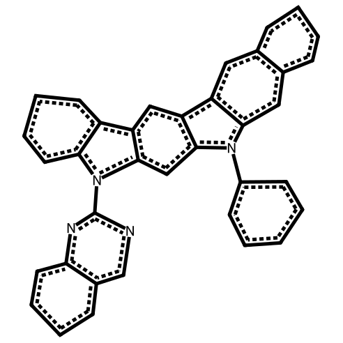 c1ccc(-n2c3cc4ccccc4cc3c3cc4c5ccccc5n(-c5ncc6ccccc6n5)c4cc32)cc1